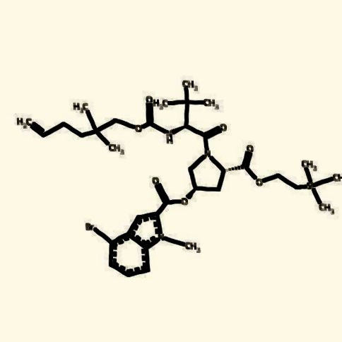 C=CCCC(C)(C)COC(=O)N[C@H](C(=O)N1C[C@H](OC(=O)c2cc3c(Br)cccc3n2C)C[C@H]1C(=O)OCC[Si](C)(C)C)C(C)(C)C